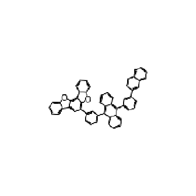 C1=CC2Oc3c(-c4cccc(-c5c6ccccc6c(-c6cccc(-c7ccc8ccccc8c7)c6)c6ccccc56)c4)cc4c(oc5ccccc54)c3C2C=C1